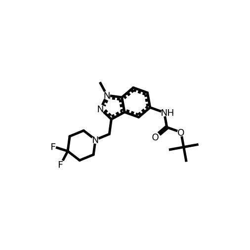 Cn1nc(CN2CCC(F)(F)CC2)c2cc(NC(=O)OC(C)(C)C)ccc21